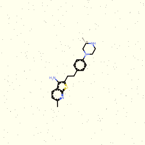 Cc1ccc2c(N)c(CCc3ccc(N4CCN[C@@H](C)C4)cc3)sc2n1